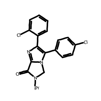 CC(C)N1Cn2c(nc(-c3ccccc3Cl)c2-c2ccc(Cl)cc2)C1=O